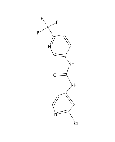 O=C(Nc1ccc(C(F)(F)F)nc1)Nc1ccnc(Cl)c1